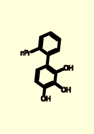 CCCc1ccccc1-c1ccc(O)c(O)c1O